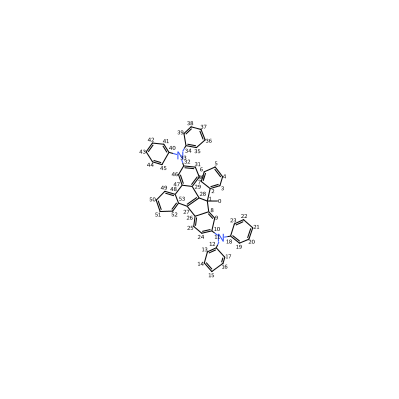 CC1(c2ccccc2)c2cc(N(c3ccccc3)c3ccccc3)ccc2-c2c1c1ccc(N(c3ccccc3)c3ccccc3)cc1c1ccccc21